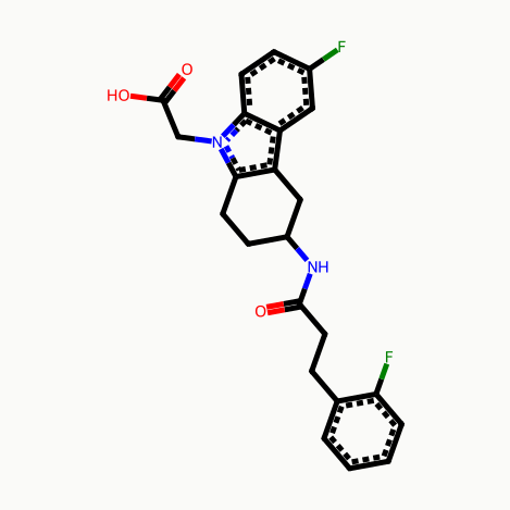 O=C(O)Cn1c2c(c3cc(F)ccc31)CC(NC(=O)CCc1ccccc1F)CC2